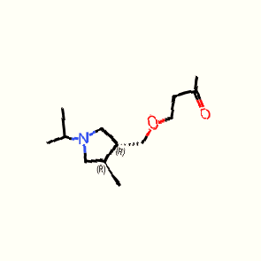 CC(=O)CCOC[C@H]1CN(C(C)C)C[C@@H]1C